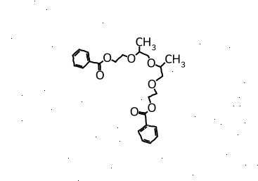 CC(COCCOC(=O)c1ccccc1)OCC(C)OCCOC(=O)c1ccccc1